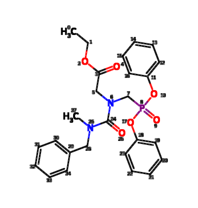 CCOC(=O)CN(CP(=O)(Oc1ccccc1)Oc1ccccc1)C(=O)N(C)Cc1ccccc1